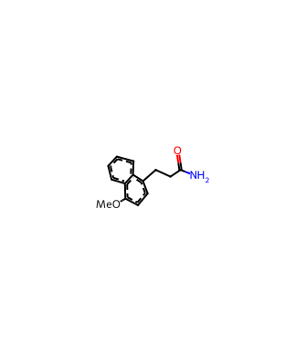 COc1ccc(CCC(N)=O)c2ccccc12